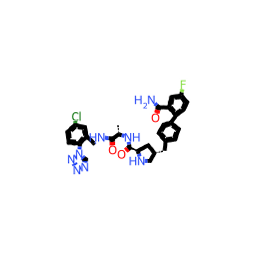 C[C@H](NC(=O)[C@H]1C[C@H](Cc2ccc(-c3ccc(F)cc3C(N)=O)cc2)CN1)C(=O)NCc1cc(Cl)ccc1-n1cnnn1